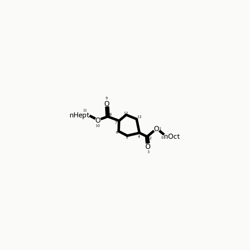 CCCCCCCCOC(=O)C1CCC(C(=O)OCCCCCCC)CC1